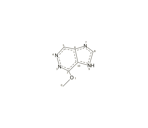 COc1nncc2nc[nH]c12